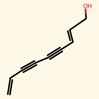 C=CC#CC#CC=CCO